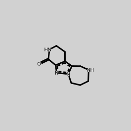 O=C1NCCc2c1nn1c2CNCCC1